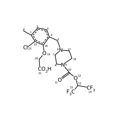 Cc1ccc(CN2CCN(C(=O)OC(C(F)(F)F)C(F)(F)F)CC2)c(OCC(=O)O)c1Cl